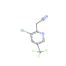 N#CCc1ncc(C(F)(F)F)cc1Cl